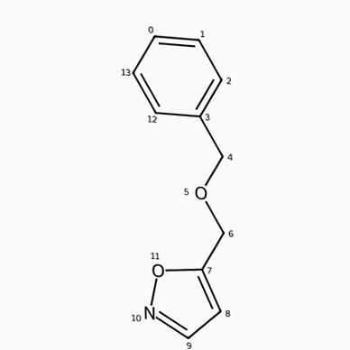 c1ccc(COCc2ccno2)cc1